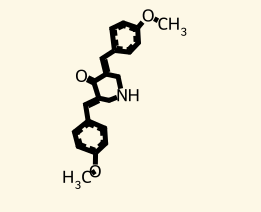 COc1ccc(C=C2CNCC(=Cc3ccc(OC)cc3)C2=O)cc1